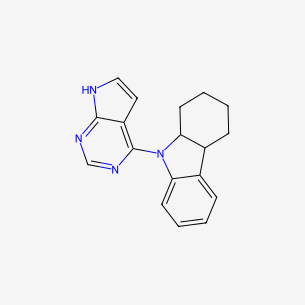 c1ccc2c(c1)C1CCCCC1N2c1ncnc2[nH]ccc12